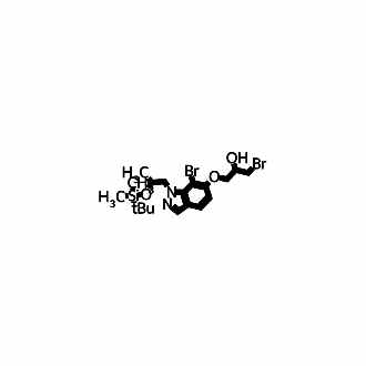 CC(Cn1ncc2ccc(OCC(O)CBr)c(Br)c21)O[Si](C)(C)C(C)(C)C